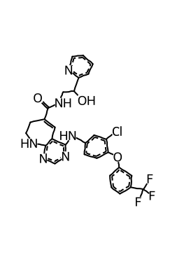 O=C(NCC(O)c1ccccn1)C1=Cc2c(ncnc2Nc2ccc(Oc3cccc(C(F)(F)F)c3)c(Cl)c2)NCC1